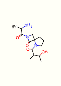 CC(C)C(N)C(=O)N1CC2(CCCN2C(=O)C(C)C(C)O)C1=O